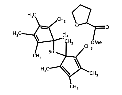 CC1=C(C)[C](C)([Sm][C]2(C)C(C)=C(C)C(C)=C2C)C(C)=C1C.COC(=O)C1CCCO1